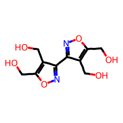 OCc1onc(-c2noc(CO)c2CO)c1CO